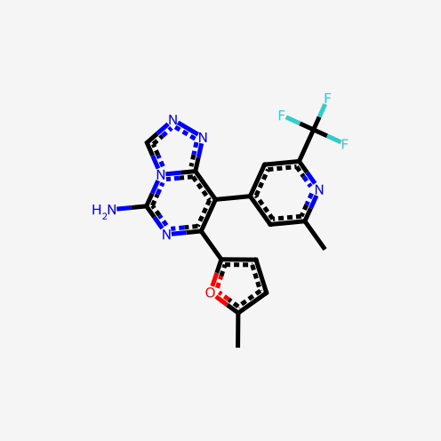 Cc1cc(-c2c(-c3ccc(C)o3)nc(N)n3cnnc23)cc(C(F)(F)F)n1